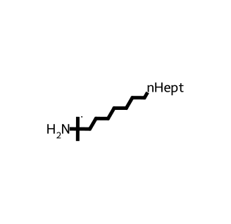 [CH2]C(C)(N)CCCCCCCCCCCCCC